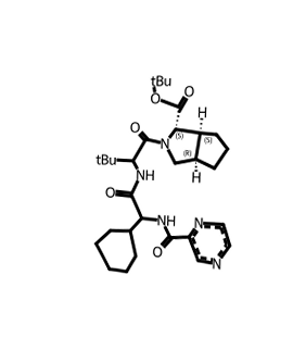 CC(C)(C)OC(=O)[C@@H]1[C@H]2CCC[C@H]2CN1C(=O)C(NC(=O)C(NC(=O)c1cnccn1)C1CCCCC1)C(C)(C)C